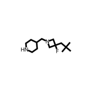 CC(C)(C)CC1(F)CN(CC2CCNCC2)C1